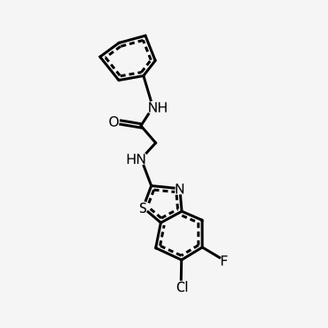 O=C(CNc1nc2cc(F)c(Cl)cc2s1)Nc1ccccc1